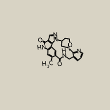 Cc1cc2[nH]c(=O)c3cnn(C4CCOCC4)c3c2cc1C(=O)NCc1cccnc1I